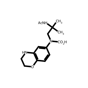 CC(=O)NC(C)(C)CN(C(=O)O)c1ccc2c(c1)NCCO2